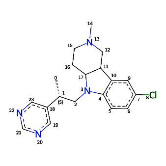 C[C@H](CN1c2ccc(Cl)cc2C2CN(C)CCC21)c1cncnc1